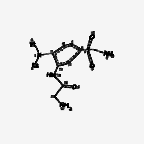 CCN(CC)c1ccc(S(N)(=O)=O)cc1NC(=O)CN